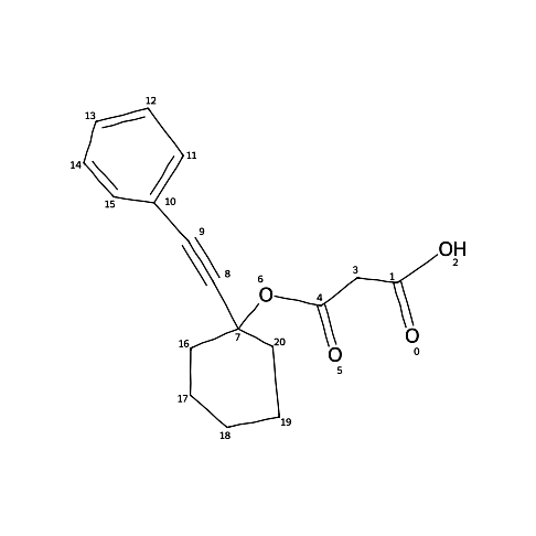 O=C(O)CC(=O)OC1(C#Cc2ccccc2)CCCCC1